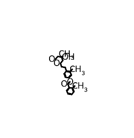 Cc1cc(OC(=O)c2ccccc2C)ccc1CCC1CC(C)(O)CC(=O)O1